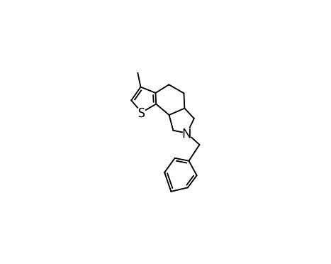 Cc1csc2c1CCC1CN(Cc3ccccc3)CC21